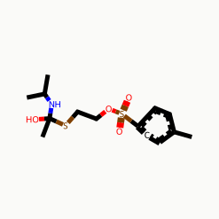 Cc1ccc(S(=O)(=O)OCCSC(C)(O)NC(C)C)cc1